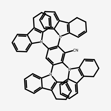 N#Cc1c(-n2c3c(c4ccccc42)CCC=C3)c(-n2c3c(c4ccccc42)CCC=C3)cc(-n2c3c(c4ccccc42)CCC=C3)c1-n1c2c(c3ccccc31)CCC=C2